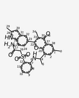 Cc1cc(C(C)Nc2ccccc2S(=O)(=O)CC(N)=O)c2oc(-c3ccc4[nH]c(C)cc4c3)c(C)c(=O)c2c1